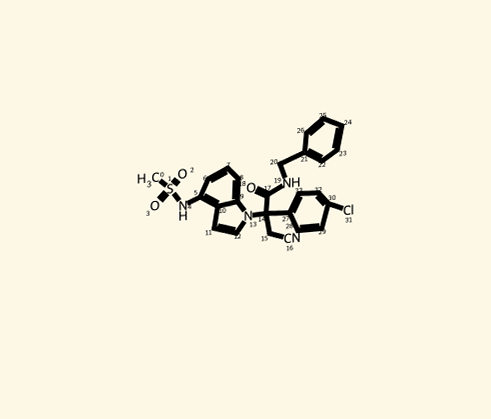 CS(=O)(=O)Nc1cccc2c1ccn2C(CC#N)(C(=O)NCc1ccccc1)c1ccc(Cl)cc1